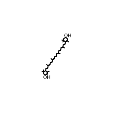 CC1=C[C@@H](O)CC(C)(C)C1/C=C/C(C)=C/C=C/C(C)=C/C=C/C=C(C)/C=C/C=C(C)/C=C/C1=C(C)C[C@@H](O)CC1(C)C